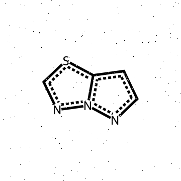 c1cc2scnn2n1